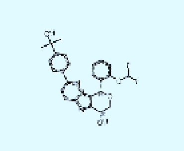 CC(C)(O)c1ccc(-c2ccc3nc4c(n3n2)[C@H](c2ccccc2OC(F)F)OC[C@@H]4O)cc1